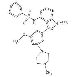 COc1cc(-c2cn(C)c3nccc(NS(=O)(=O)c4ccccc4)c23)cc(N2CCN(C)CC2)c1